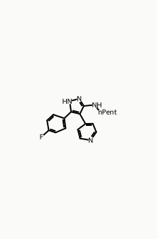 CCCCCNc1n[nH]c(-c2ccc(F)cc2)c1-c1ccncc1